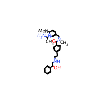 CNC1C=CC(CN(C)C(=O)c2ccc(CCNCC(O)c3ccccc3)cc2)=CN1C(C)N